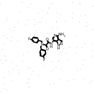 Nc1ncc(NC(=O)C(=O)N(Cc2ccc(F)cc2)Cc2ccc(F)cc2)c2[nH]ncc12